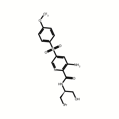 CC(C)C[C@H](CO)NC(=O)c1ncc(S(=O)(=O)c2ccc(OC(F)(F)F)cc2)cc1N